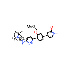 COCOc1cc(-c2ccn(C)c(=O)c2)ccc1-c1ccc(N(C)[C@@H]2C[C@]3(C)CC[C@](C)(C2)N3C(=O)O)nn1